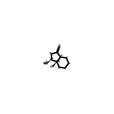 O=C1O[C@@H](O)[C@@H]2CCCCC12